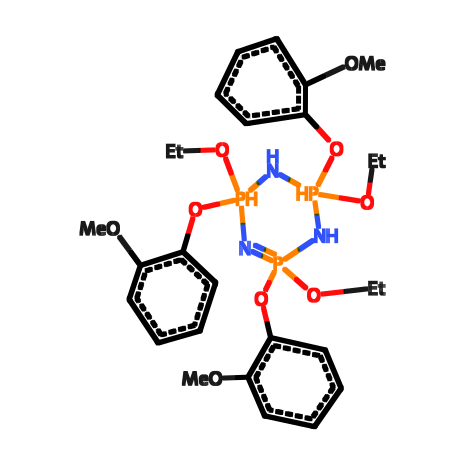 CCOP1(Oc2ccccc2OC)=N[PH](OCC)(Oc2ccccc2OC)N[PH](OCC)(Oc2ccccc2OC)N1